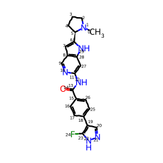 CN1CCC[C@@H]1c1cc2cnc(NC(=O)c3ccc(-c4cn[nH]c4F)cc3)cc2[nH]1